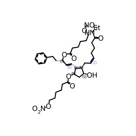 CCNC(=O)CCC/C=C\C[C@@H]1[C@@H](/C=C/[C@H](CCc2ccccc2)OC(=O)CCCCCO[N+](=O)[O-])[C@H](OC(=O)CCCCCO[N+](=O)[O-])C[C@@H]1O